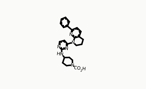 O=C(O)N1CCC(Nc2nccc(N3CCCc4ccc(-c5ccccc5)nc43)n2)CC1